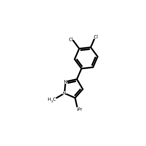 CC(C)c1cc(-c2ccc(Cl)c(Cl)c2)nn1C